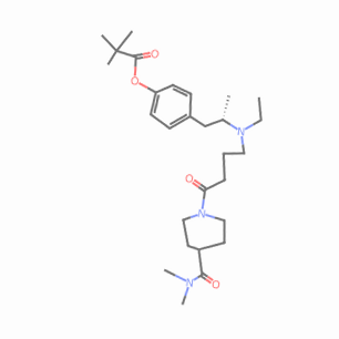 CCN(CCCC(=O)N1CCC(C(=O)N(C)C)CC1)[C@@H](C)Cc1ccc(OC(=O)C(C)(C)C)cc1